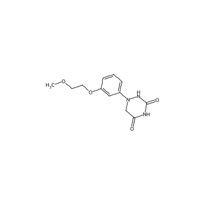 COCCOc1cccc(N2CC(=O)NC(=O)N2)c1